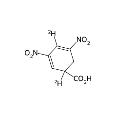 [2H]C1=C([N+](=O)[O-])CC([2H])(C(=O)O)C=C1[N+](=O)[O-]